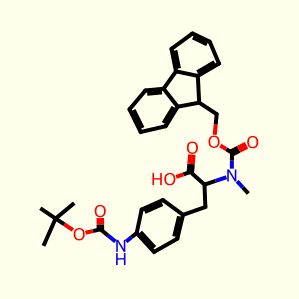 CN(C(=O)OCC1c2ccccc2-c2ccccc21)C(Cc1ccc(NC(=O)OC(C)(C)C)cc1)C(=O)O